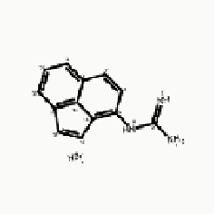 Br.N=C(N)Nc1ccc2cccc3c2c1C=C3